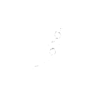 C/C=C/CCC1CCc2c(ccc3c2CCC(c2ccc(F)cc2)C3)C1